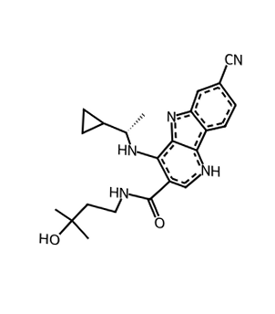 C[C@H](Nc1c(C(=O)NCCC(C)(C)O)c[nH]c2c3ccc(C#N)cc3nc1-2)C1CC1